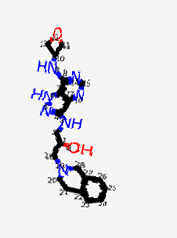 OC(CNc1n[nH]c2c(NC3COC3)ncnc12)CN1CCc2ccccc2C1